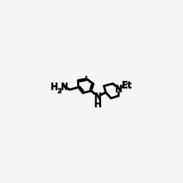 CCN1CCC(Nc2c[c]cc(CN)c2)CC1